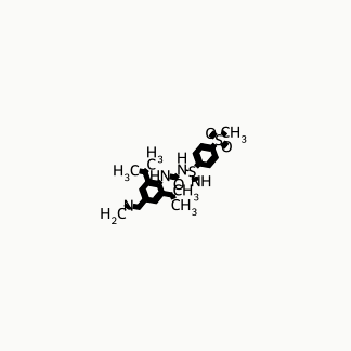 C=NCc1cc(C(C)C)c(NC(=O)N[S@@](=N)c2ccc(S(C)(=O)=O)cc2)c(C(C)C)c1